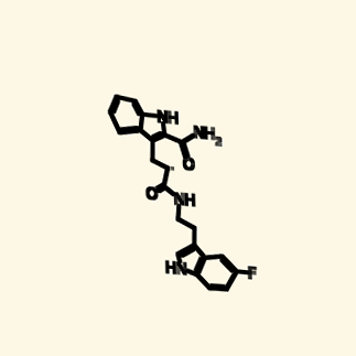 NC(=O)c1[nH]c2ccccc2c1C[CH]C(=O)NCCc1c[nH]c2ccc(F)cc12